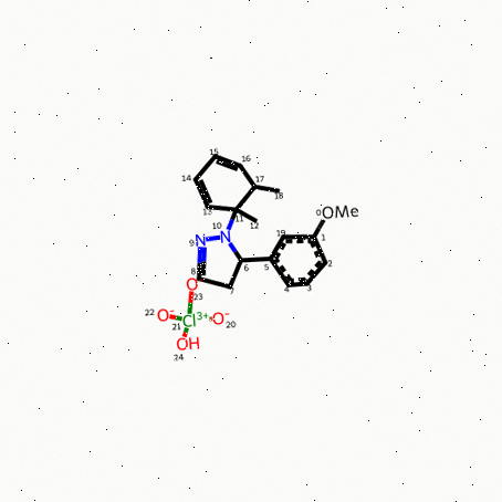 COc1cccc(C2CC=NN2C2(C)C=CC=CC2C)c1.[O-][Cl+3]([O-])([O-])O